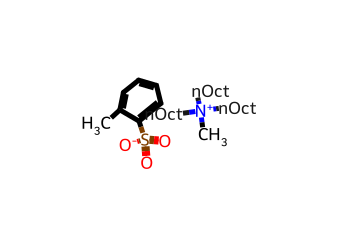 CCCCCCCC[N+](C)(CCCCCCCC)CCCCCCCC.Cc1ccccc1S(=O)(=O)[O-]